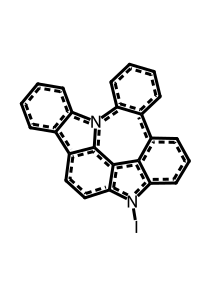 In1c2cccc3c4ccccc4n4c5ccccc5c5ccc1c(c32)c54